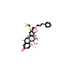 C[C@]12C[C@H](O)[C@@]3(F)[C@@H](C[C@H](F)C4=CC(=O)C=C[C@@]43C)[C@]1(C)C[C@H]1CN(CCCc3ccccc3)O[C@]12C(=O)SCCl